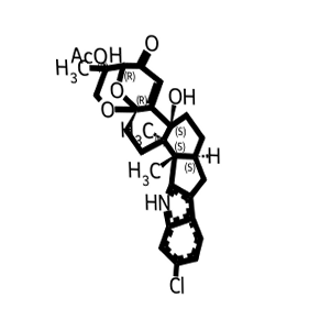 CC(=O)O[C@@]1(C)CO[C@@]23CC[C@@]4(C)[C@@](O)(CC[C@H]5Cc6c([nH]c7cc(Cl)ccc67)[C@@]54C)C2=CC(=O)[C@@H]1O3